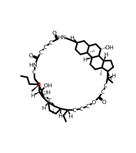 CCC[C@]1(C)C2CNC(=O)CCCC(=O)N[C@H]3CC[C@@]4(C)C(C3)C[C@H](O)C3[C@@H]5CC[C@H]([C@H](C)CCC(=O)OCCC[C@H](CC)[C@@H]6CC[C@@H]7C([C@H](O)C2)[C@H]1CC[C@]76C)[C@@]5(C)CC[C@@H]34